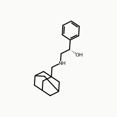 O[C@H](CNCC12CC3CC(CC(C3)C1)C2)c1ccccc1